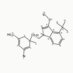 CC1(C(=O)O)C=C(Br)C=C(C(=O)O)C1.CCOc1nn(C)c2cccc([Si](C)(C)C)c12